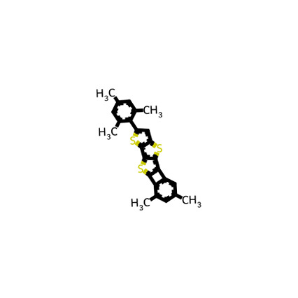 Cc1cc(C)c(-c2cc3sc4c5c(sc4c3s2)-c2c(C)cc(C)cc2-5)c(C)c1